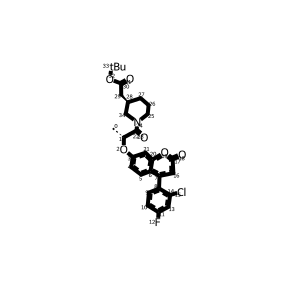 C[C@@H](Oc1ccc2c(-c3ccc(F)cc3Cl)cc(=O)oc2c1)C(=O)N1CCC[C@H](CC(=O)OC(C)(C)C)C1